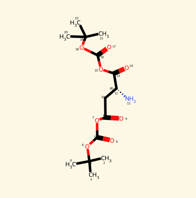 CC(C)(C)OC(=O)OC(=O)C[C@@H](N)C(=O)OC(=O)OC(C)(C)C